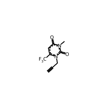 C#CCn1c(C(F)(F)F)cc(=O)n(C)c1=O